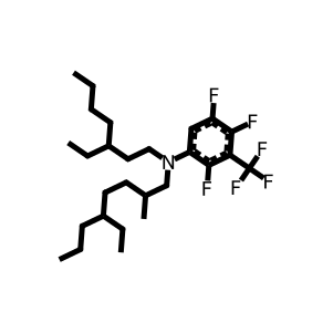 CCCCC(CC)CCN(CC(C)CCC(CC)CCC)c1cc(F)c(F)c(C(F)(F)F)c1F